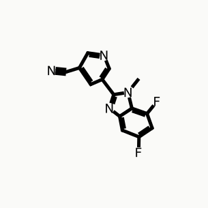 Cn1c(-c2cncc(C#N)c2)nc2cc(F)cc(F)c21